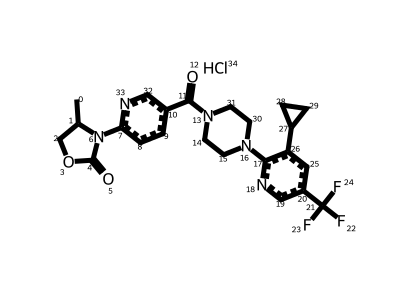 CC1COC(=O)N1c1ccc(C(=O)N2CCN(c3ncc(C(F)(F)F)cc3C3CC3)CC2)cn1.Cl